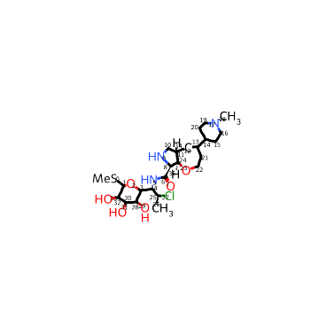 CSC1OC([C@H](NC(=O)[C@H]2NC[C@@H]3CC(C4CCN(C)CC4)CCO[C@H]32)[C@H](C)Cl)C(O)C(O)C1O